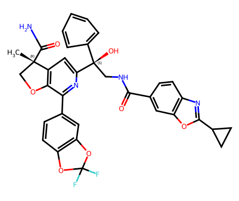 C[C@]1(C(N)=O)COc2c1cc([C@@](O)(CNC(=O)c1ccc3nc(C4CC4)oc3c1)c1ccccc1)nc2-c1ccc2c(c1)OC(F)(F)O2